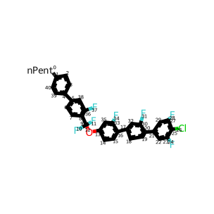 CCCCCc1ccc(-c2ccc(C(F)(F)Oc3ccc(-c4ccc(-c5cc(F)c(Cl)c(F)c5)c(F)c4)c(F)c3)c(F)c2)cc1